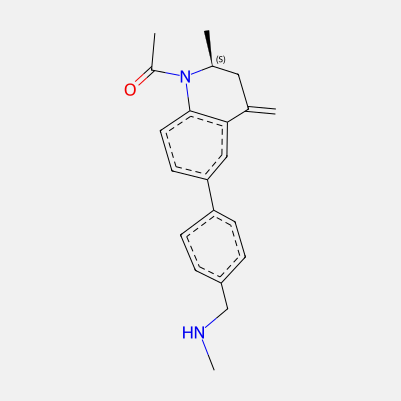 C=C1C[C@H](C)N(C(C)=O)c2ccc(-c3ccc(CNC)cc3)cc21